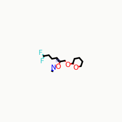 C=NO/C(=C\CCC(F)F)COC1CCCCO1